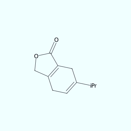 CC(C)C1=CCC2=C(C1)C(=O)OC2